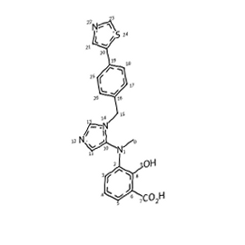 CN(c1cccc(C(=O)O)c1O)c1cncn1Cc1ccc(-c2cncs2)cc1